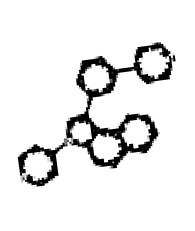 c1cc(-c2ccncc2)cc(-c2cn(-c3ccncc3)c3ccc4ccccc4c23)c1